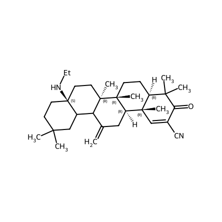 C=C1C[C@@H]2[C@@]3(C)C=C(C#N)C(=O)C(C)(C)[C@@H]3CC[C@@]2(C)[C@]2(C)CC[C@@]3(NCC)CCC(C)(C)CC3C12